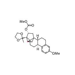 COC(=O)O[C@@H]1CC23C=C[C@@]1(C1(C)OCCO1)[C@@]2(C)CC[C@@H]1c2ccc(OC)cc2CC[C@H]13